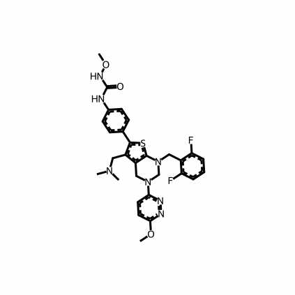 CONC(=O)Nc1ccc(-c2sc3c(c2CN(C)C)CN(c2ccc(OC)nn2)CN3Cc2c(F)cccc2F)cc1